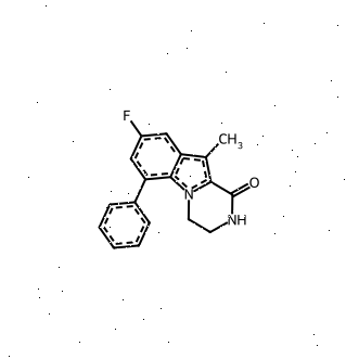 Cc1c2n(c3c(-c4ccccc4)cc(F)cc13)CCNC2=O